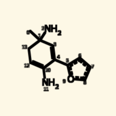 CC1(N)C=C(c2ccco2)C(N)=CC1